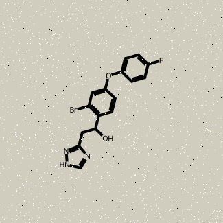 OC(Cc1nc[nH]n1)c1ccc(Oc2ccc(F)cc2)cc1Br